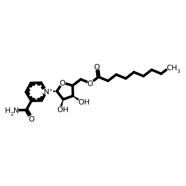 CCCCCCCCC(=O)OCC1O[C@@H]([n+]2cccc(C(N)=O)c2)[C@H](O)[C@@H]1O